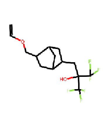 C=COCC1CC2CC1CC2CC(O)(C(F)(F)F)C(F)(F)F